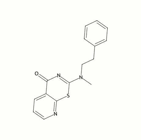 CN(CCc1ccccc1)c1nc(=O)c2cccnc2s1